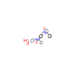 O=C(N[C@H]1CC[C@@H](C(=O)O)CC1)C(c1ccc(CN2N=C(c3ccccc3)CCC2=O)cc1)C1CCCC1